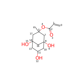 C=CC(=O)OC1(C)CC2(O)CC(O)CC(O)(C2)C1